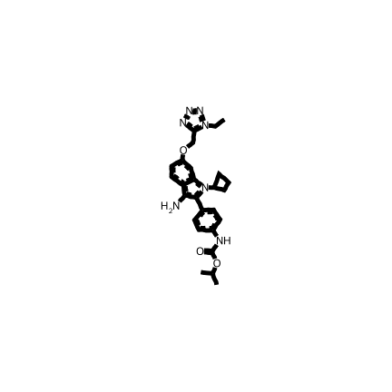 CCn1nnnc1COc1ccc2c(N)c(-c3ccc(NC(=O)OC(C)C)cc3)n(C3CCC3)c2c1